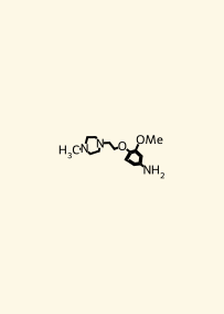 COc1cc(N)ccc1OCCN1CCN(C)CC1